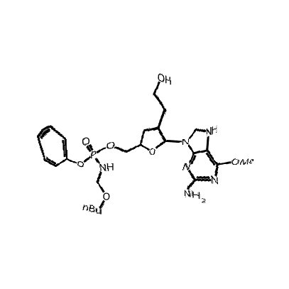 CCCCOCNP(=O)(OCC1CC(CCO)C(N2CNc3c(OC)nc(N)nc32)O1)Oc1ccccc1